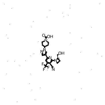 N#Cc1c(C(F)(F)F)cc(-c2cnn(C3CCN(C(=O)O)CC3)c2)nc1N1CC[C@@H]1CO